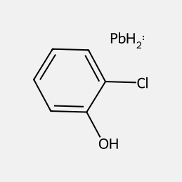 Oc1ccccc1Cl.[PbH2]